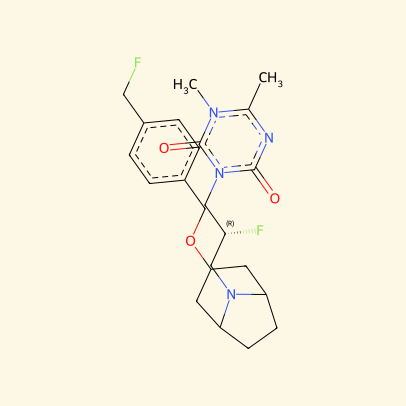 Cc1nc(=O)n(C[C@H](F)CN2C3CCC2CC(OCc2ccc(CF)cc2)C3)c(=O)n1C